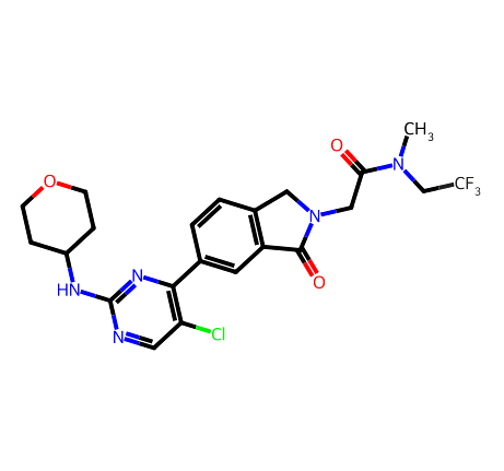 CN(CC(F)(F)F)C(=O)CN1Cc2ccc(-c3nc(NC4CCOCC4)ncc3Cl)cc2C1=O